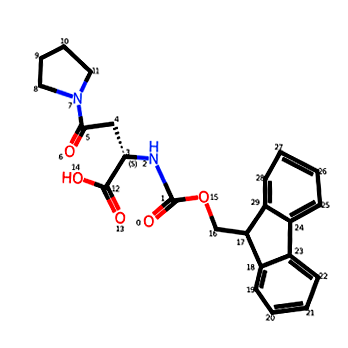 O=C(N[C@@H](CC(=O)N1CCCC1)C(=O)O)OCC1c2ccccc2-c2ccccc21